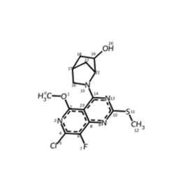 COc1nc(Cl)c(F)c2nc(SC)nc(N3CC4CC(O)C3C4)c12